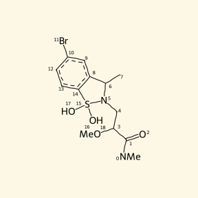 CNC(=O)C(CN1C(C)c2cc(Br)ccc2S1(O)O)OC